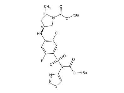 C[C@H]1C[C@H](Nc2cc(F)c(S(=O)(=O)N(C(=O)OC(C)(C)C)c3cscn3)cc2Cl)CN1C(=O)OC(C)(C)C